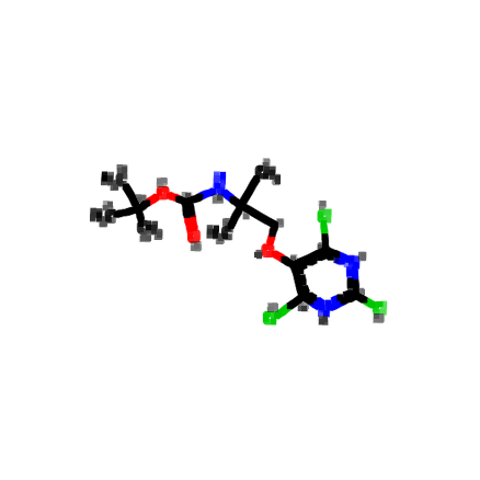 CC(C)(COc1c(Cl)nc(Cl)nc1Cl)NC(=O)OC(C)(C)C